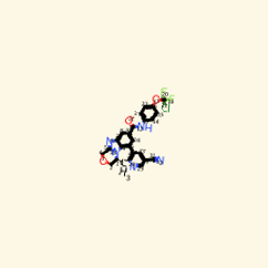 C[C@@H]1COCc2nc3cc(C(=O)Nc4ccc(OC(F)(F)Cl)cc4)cc(-c4cncc(C#N)c4)c3n21